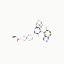 C=CC(=O)N1CC2(CCN(c3nc4c(c(-c5c(C)ccc6[nH]ncc56)c3F)CC3CC4C3(C)C)C2)C1